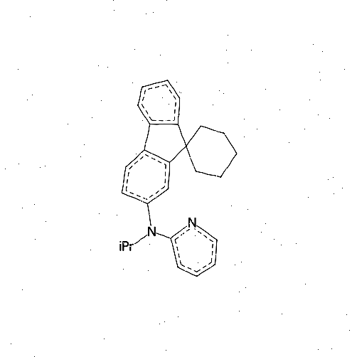 CC(C)N(c1ccc2c(c1)C1(CCCCC1)c1ccccc1-2)c1ccccn1